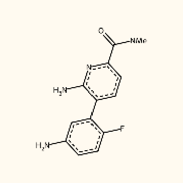 CNC(=O)c1ccc(-c2cc(N)ccc2F)c(N)n1